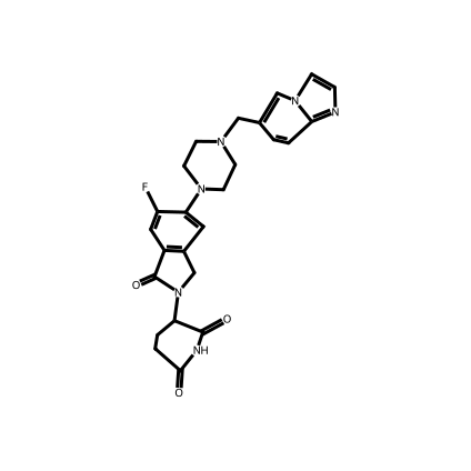 O=C1CCC(N2Cc3cc(N4CCN(Cc5ccc6nccn6c5)CC4)c(F)cc3C2=O)C(=O)N1